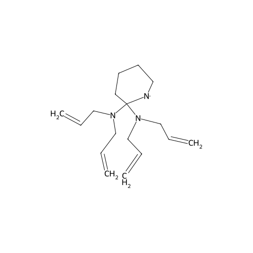 C=CCN(CC=C)C1(N(CC=C)CC=C)CCCC[N]1